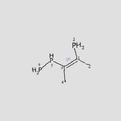 C/C(P)=C(\C)PP